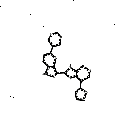 c1csc(-c2cncc3[nH]c(-c4n[nH]c5ccc(-c6cncnc6)nc45)nc23)c1